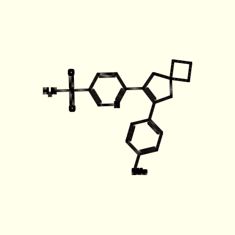 CSc1ccc(C2=C(c3ccc(S(N)(=O)=O)cn3)CC3(CCC3)C2)cc1